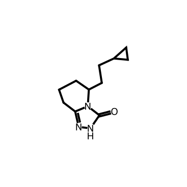 O=c1[nH]nc2n1C(CCC1CC1)CCC2